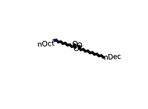 CCCCCCCC/C=C\CCCCCCCC(=O)OC(=O)CCCCCCCCCCCCCCCCCCCCC